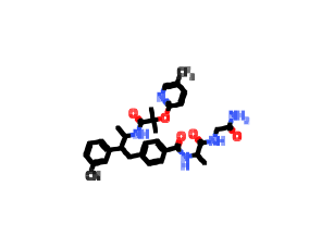 CC(NC(=O)c1ccc(CC(c2cccc(C#N)c2)C(C)NC(=O)C(C)(C)Oc2ccc(C(F)(F)F)cn2)cc1)C(=O)NCC(N)=O